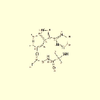 CC(C)(NC1=NC(c2c[nH]c3ncc(Cl)cc23)=NCC1)C(=O)NCCF